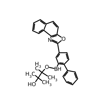 CC(C)(O)C(C)(C)OBc1cc(-c2nc3c(ccc4ccccc43)o2)ccc1-c1ccccc1